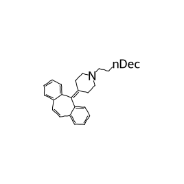 CCCCCCCCCCCCN1CCC(=C2c3ccccc3C=Cc3ccccc32)CC1